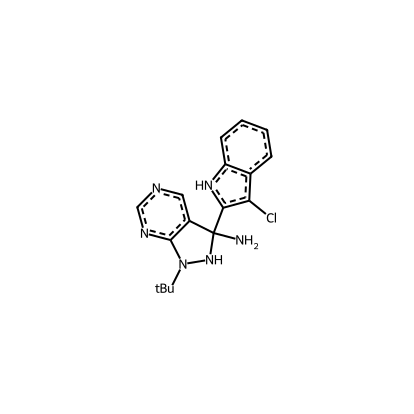 CC(C)(C)N1NC(N)(c2[nH]c3ccccc3c2Cl)c2cncnc21